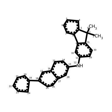 CC1(C)c2ccccc2-c2cc(Nc3ccc4cc(-c5ccccc5)ccc4c3)ccc21